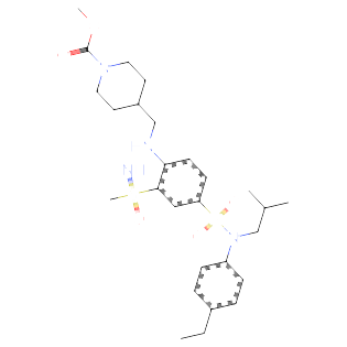 CCc1ccc(N(CC(C)C)S(=O)(=O)c2ccc(NCC3CCN(C(=O)OC)CC3)c(S(C)(=N)=O)c2)cc1